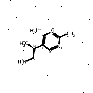 Cc1ncc([C@H](C)CN)cn1.Cl